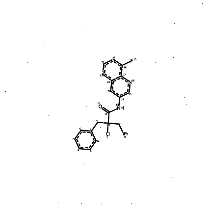 CC(C)CC(Cl)(Cc1ccccc1)C(=O)Nc1cnc2c(F)cccc2c1